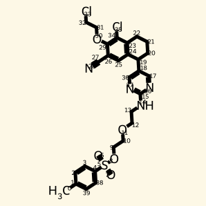 Cc1ccc(S(=O)(=O)OCCOCCNc2ncc(C3CCCc4c3cc(C#N)c(OCCCl)c4Cl)cn2)cc1